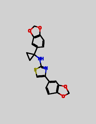 c1cc2c(cc1-c1csc(NC3(c4ccc5c(c4)OCO5)CC3)n1)OCO2